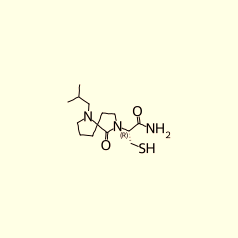 CC(C)CN1CCCC12CCN([C@@H](CS)C(N)=O)C2=O